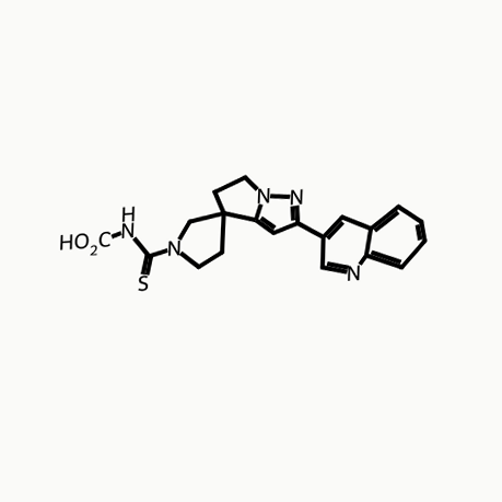 O=C(O)NC(=S)N1CCC2(CCn3nc(-c4cnc5ccccc5c4)cc32)C1